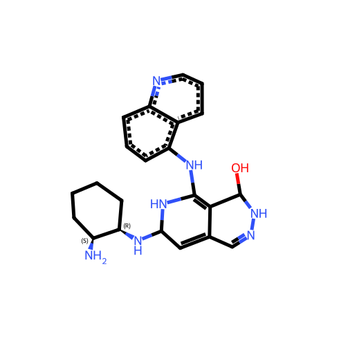 N[C@H]1CCCC[C@H]1NC1C=C2C=NNC(O)C2=C(Nc2cccc3ncccc23)N1